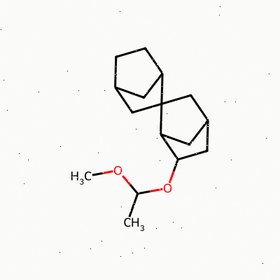 COC(C)OC1CC2CC1C1(CC3CCC1C3)C2